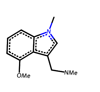 CNCc1cn(C)c2cccc(OC)c12